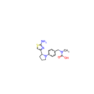 CN(Cc1ccc(N2CCCC2c2csc(N)n2)cc1)C(=O)O